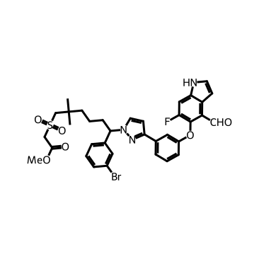 COC(=O)CS(=O)(=O)CC(C)(C)CCCC(c1cccc(Br)c1)n1ccc(-c2cccc(Oc3c(F)cc4[nH]ccc4c3C=O)c2)n1